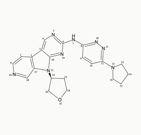 c1cc2c3cnc(Nc4ccc(N5CCCC5)nn4)nc3n([C@H]3CCOC3)c2cn1